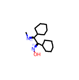 C/N=C(/C(=N/O)C1CCCCC1)C1CCCCC1